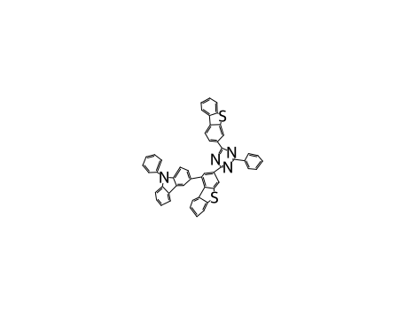 c1ccc(-c2nc(-c3ccc4c(c3)sc3ccccc34)nc(-c3cc(-c4ccc5c(c4)c4ccccc4n5-c4ccccc4)c4c(c3)sc3ccccc34)n2)cc1